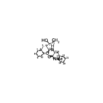 C=C[C@H](O)[C@@H](Cc1ccccc1)C(=O)N[C@@H](Cc1ccccc1)C(=O)NC